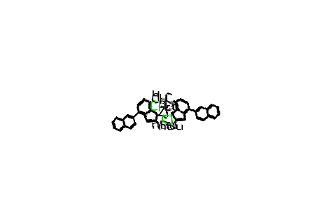 CCCCC1=Cc2c(-c3ccc4ccccc4c3)ccc(C)c2[CH]1[Zr]([Cl])([Cl])([CH2]C)[CH]1C(CCCC)=Cc2c(-c3ccc4ccccc4c3)ccc(C)c21